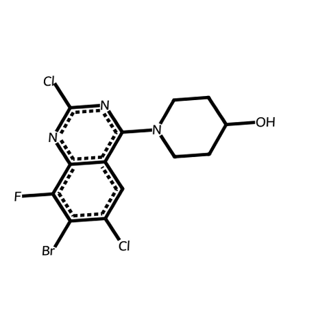 OC1CCN(c2nc(Cl)nc3c(F)c(Br)c(Cl)cc23)CC1